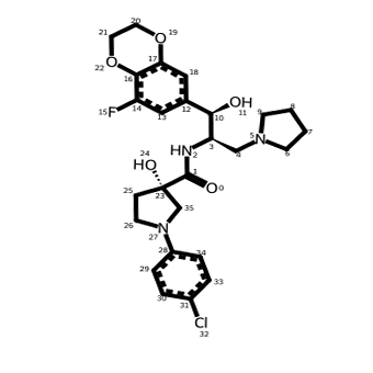 O=C(N[C@H](CN1CCCC1)[C@H](O)c1cc(F)c2c(c1)OCCO2)[C@]1(O)CCN(c2ccc(Cl)cc2)C1